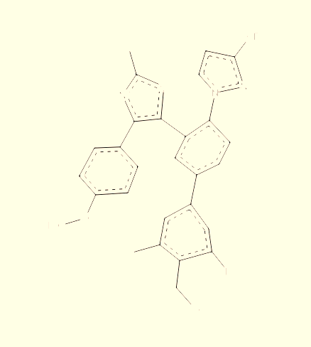 Cc1nc(-c2ccc(OC(F)(F)F)cc2)c(-c2cc(-c3cc(C)c(CO)c(F)c3)ccc2-n2ccc(C(F)(F)F)n2)o1